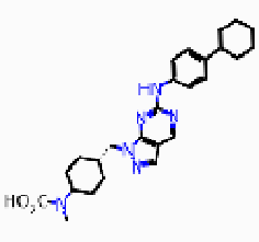 CN(C(=O)O)[C@H]1CC[C@H](Cn2ncc3cnc(Nc4ccc(C5CCCCC5)cc4)nc32)CC1